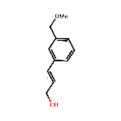 COCc1cccc(/C=C/CO)c1